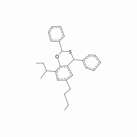 CCCCc1cc(C(C)CC)c2c(c1)C(c1ccccc1)SC(c1ccccc1)O2